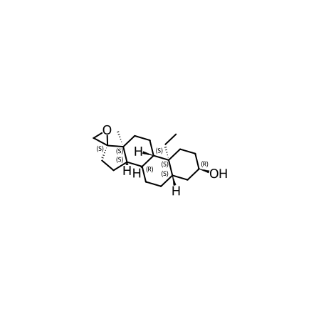 CC[C@]12CC[C@@H](O)C[C@@H]1CC[C@@H]1[C@@H]2CC[C@@]2(C)[C@H]1CC[C@@]21CO1